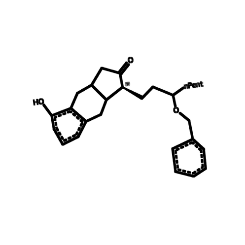 CCCCCC(CC[C@@H]1C(=O)CC2Cc3c(O)cccc3CC21)OCc1ccccc1